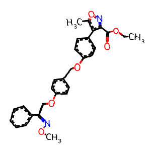 CCOC(=O)c1noc(C)c1-c1ccc(OCc2ccc(OCC(=NOC)c3ccccc3)cc2)cc1